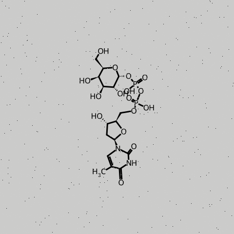 Cc1cn([C@H]2C[C@H](O)[C@@H](COP(=O)(O)OP(=O)(O)O[C@H]3O[C@H](CO)[C@H](O)[C@H](O)[C@H]3O)O2)c(=O)[nH]c1=O